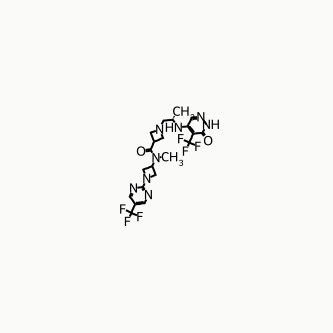 C[C@@H](CN1CC(C(=O)N(C)C2CN(c3ncc(C(F)(F)F)cn3)C2)C1)Nc1cn[nH]c(=O)c1C(F)(F)F